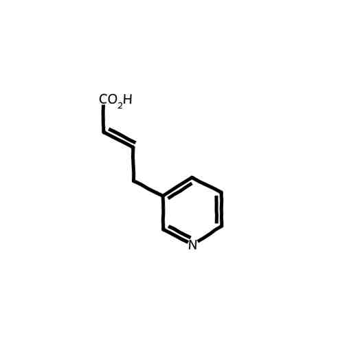 O=C(O)/C=C/Cc1cccnc1